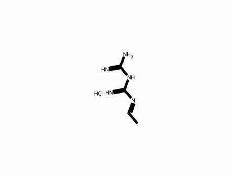 CC=NC(=N)NC(=N)N.Cl